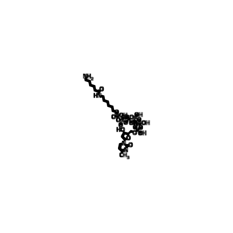 Cc1ccn([C@H]2C[C@@H](O)[C@@H](COP(=O)(O)OP(=O)(O)OP(=O)(O)OP(=O)(O)OP(=O)(O)OP(=O)(O)OCCCCCCNC(=O)CCCCCN)O2)c(=O)n1